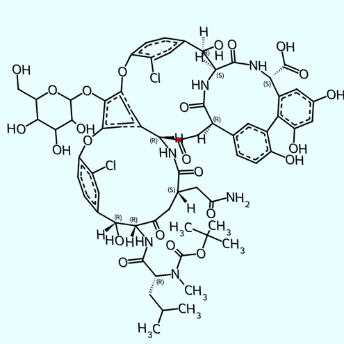 CC(C)C[C@H](C(=O)N[C@H]1C(=O)C[C@@H](CC(N)=O)C(=O)N[C@H]2C(=O)C[C@H]3C(=O)N[C@H](C(=O)N[C@H](C(=O)O)c4cc(O)cc(O)c4-c4cc3ccc4O)[C@H](O)c3ccc(c(Cl)c3)Oc3cc2cc(c3OC2OC(CO)C(O)C(O)C2O)Oc2ccc(cc2Cl)[C@H]1O)N(C)C(=O)OC(C)(C)C